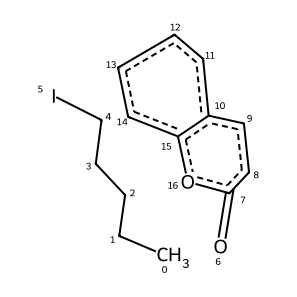 CCCCCI.O=c1ccc2ccccc2o1